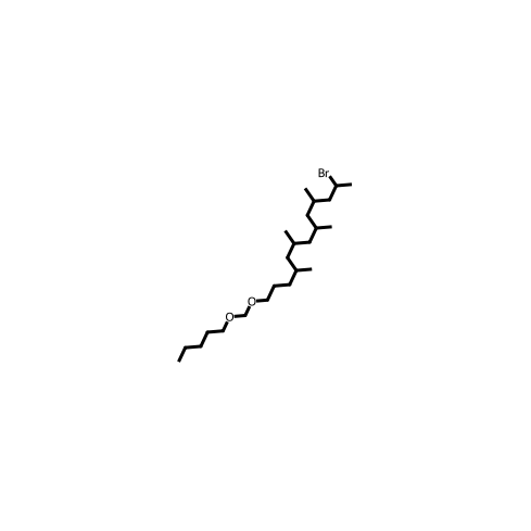 CCCCCOCOCCCC(C)CC(C)CC(C)CC(C)CC(C)Br